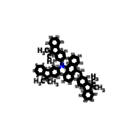 CC1(C)c2ccccc2-c2cc(N(c3ccc4c(c3)C(C)(C)c3ccccc3-4)c3c4ccccc4c(Cc4ccc5c(c4)C(C)(C)c4ccccc4-5)c4ccccc34)ccc21